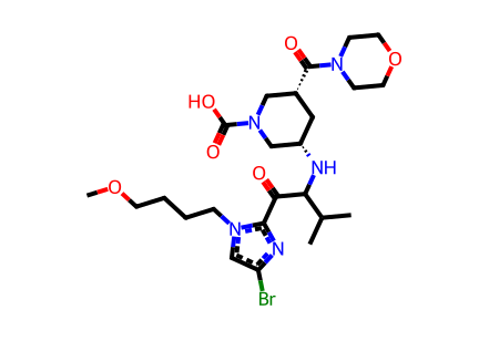 COCCCCn1cc(Br)nc1C(=O)C(N[C@H]1C[C@@H](C(=O)N2CCOCC2)CN(C(=O)O)C1)C(C)C